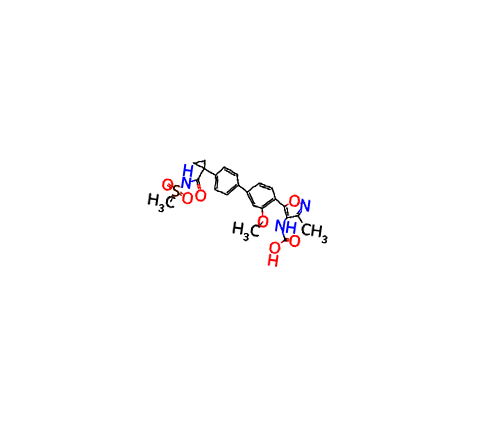 COc1cc(-c2ccc(C3(C(=O)NS(C)(=O)=O)CC3)cc2)ccc1-c1onc(C)c1NC(=O)O